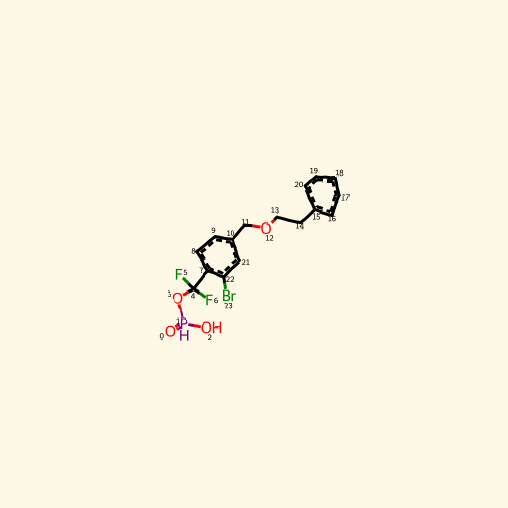 O=[PH](O)OC(F)(F)c1ccc(COCCc2ccccc2)cc1Br